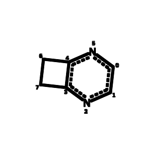 c1cnc2c(n1)CC2